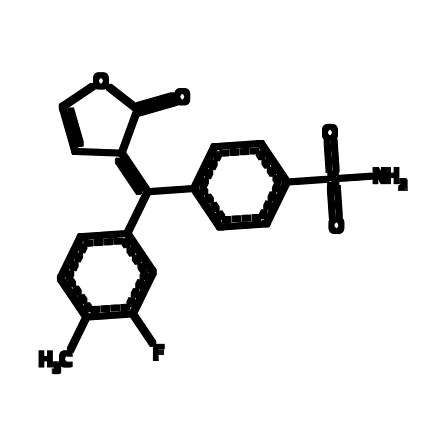 Cc1ccc(C(=C2C=COC2=O)c2ccc(S(N)(=O)=O)cc2)cc1F